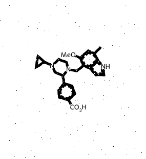 COc1cc(C)c2[nH]ccc2c1CN1CCN(C2CC2)CC1c1ccc(C(=O)O)cc1